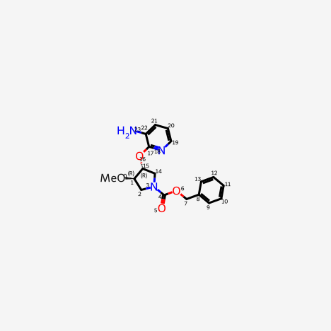 CO[C@@H]1CN(C(=O)OCc2ccccc2)C[C@H]1Oc1ncccc1N